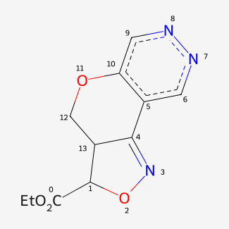 CCOC(=O)C1ON=C2c3cnncc3OCC21